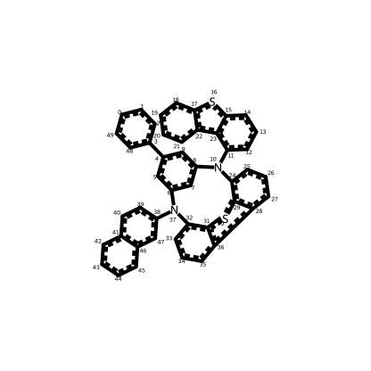 c1ccc(-c2cc3cc(c2)N(c2cccc4sc5ccccc5c24)c2cccc4c2sc2c(cccc24)N3c2ccc3ccccc3c2)cc1